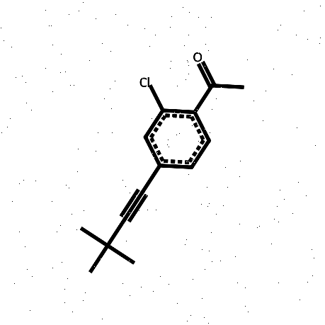 CC(=O)c1ccc(C#CC(C)(C)C)cc1Cl